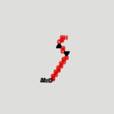 COOOOOOOOOOOOC1CC1OOC1CC1OOO